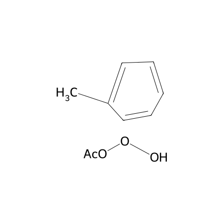 CC(=O)OOO.Cc1ccccc1